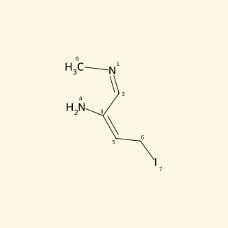 C/N=C\C(N)=C/CI